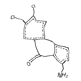 Nc1scc2c1C(=O)c1cc(Cl)c(Cl)cc1-2